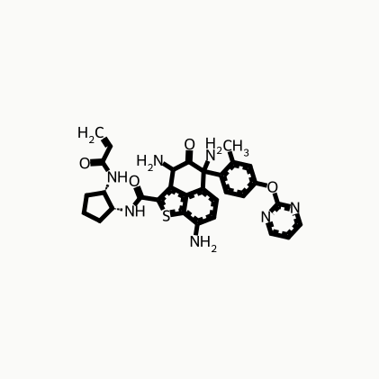 C=CC(=O)N[C@H]1CCC[C@H]1NC(=O)c1sc2c(N)ccc3c2c1C(N)C(=O)C3(N)c1ccc(Oc2ncccn2)cc1C